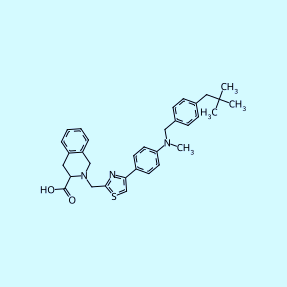 CN(Cc1ccc(CC(C)(C)C)cc1)c1ccc(-c2csc(CN3Cc4ccccc4CC3C(=O)O)n2)cc1